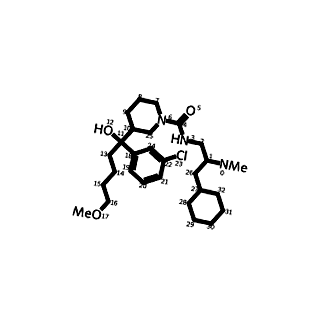 CNC(CNC(=O)N1CCCC(C(O)(CCCCOC)c2cccc(Cl)c2)C1)CC1CCCCC1